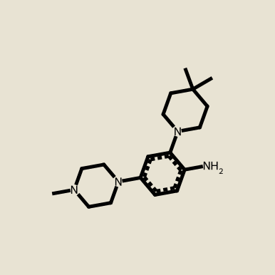 CN1CCN(c2ccc(N)c(N3CCC(C)(C)CC3)c2)CC1